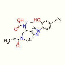 C=CC(=O)N1CCc2nn(-c3ccc(C4CC4)cc3O)c3c2C(C1)N(C(=O)O)CC3